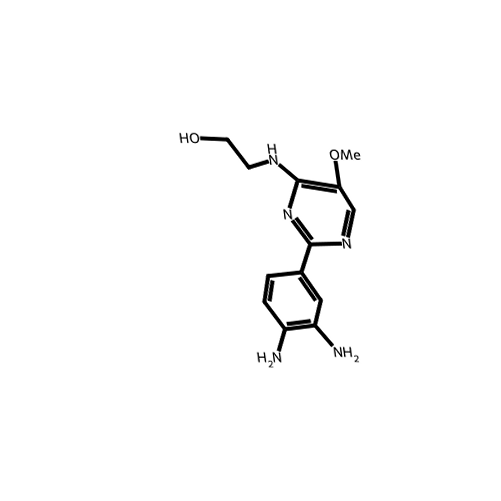 COc1cnc(-c2ccc(N)c(N)c2)nc1NCCO